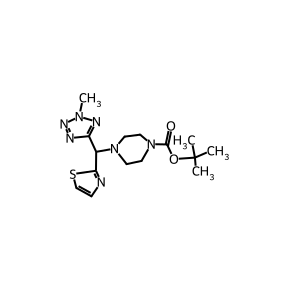 Cn1nnc(C(c2nccs2)N2CCN(C(=O)OC(C)(C)C)CC2)n1